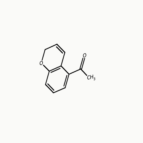 CC(=O)c1cccc2c1C=CCO2